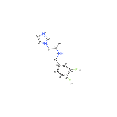 CC(Cn1ccnc1)NCc1ccc(F)c(F)c1